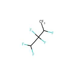 F[C](F)C(F)(F)C(F)C(F)(F)F